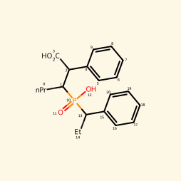 CCCC(C(C(=O)O)c1ccccc1)P(=O)(O)C(CC)c1ccccc1